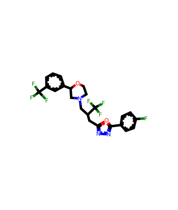 Fc1ccc(-c2nnc(CC(CN3CCOC(c4cccc(C(F)(F)F)c4)C3)C(F)(F)F)o2)cc1